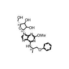 COc1nc(N[C@H](C)COc2ccccc2)c2ncn([C@@H]3O[C@H](CO)C(O)C3O)c2n1